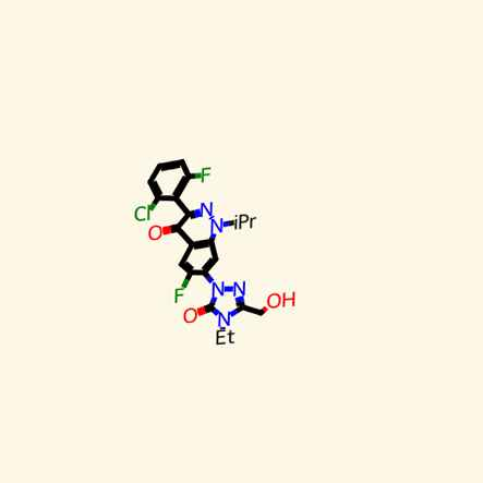 CCn1c(CO)nn(-c2cc3c(cc2F)c(=O)c(-c2c(F)cccc2Cl)nn3C(C)C)c1=O